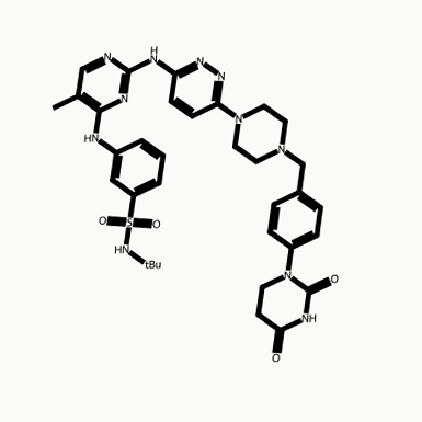 Cc1cnc(Nc2ccc(N3CCN(Cc4ccc(N5CCC(=O)NC5=O)cc4)CC3)nn2)nc1Nc1cccc(S(=O)(=O)NC(C)(C)C)c1